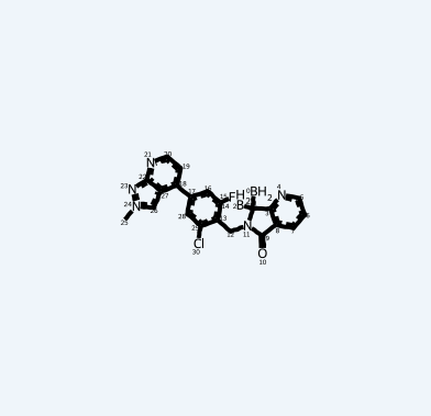 BC1(B)c2ncccc2C(=O)N1Cc1c(F)cc(-c2ccnc3nn(C)cc23)cc1Cl